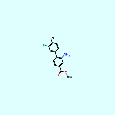 CC(C)(C)OC(=O)c1ccc(-c2ccc(C#N)c(F)c2)c(N)c1